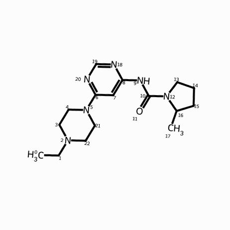 CCN1CCN(c2cc(NC(=O)N3CCCC3C)ncn2)CC1